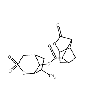 CC1CC2CS(=O)(=O)OC1C2OC(=O)C1C2CC3OC(=O)C1C3C2